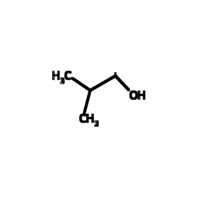 CC(C)[CH]O